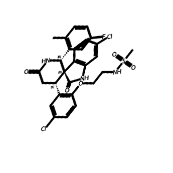 Cc1ccc(F)cc1[C@H]1NC(=O)C[C@@H](c2cc(Cl)ccc2OCCNS(C)(=O)=O)[C@]12C(=O)Nc1cc(Cl)ccc12